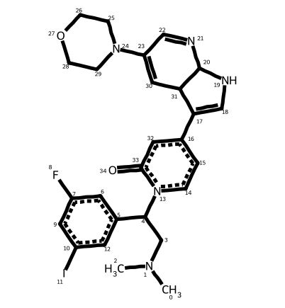 CN(C)CC(c1cc(F)cc(I)c1)n1ccc(C2=CNC3N=CC(N4CCOCC4)=CC23)cc1=O